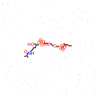 CCCC(C)OP(=O)(O)OCCOCCOCCOP(=O)(O)OCC(CO)CCCCNC(=O)C(C)C